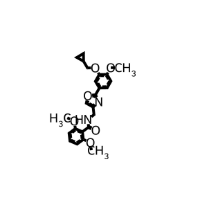 COc1ccc(-c2nc(CNC(=O)c3c(OC)cccc3OC)co2)cc1OCC1CC1